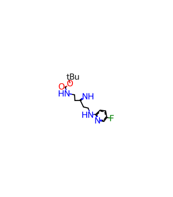 CC(C)(C)OC(=O)NCCC(=N)CCNc1ccc(F)cn1